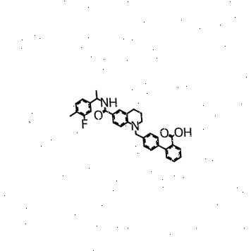 Cc1ccc(C(C)NC(=O)c2ccc3c(c2)CCCN3Cc2ccc(-c3ccccc3C(=O)O)cc2)cc1F